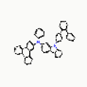 c1ccc(-c2ccccc2-c2ccc(-n3c4ccccc4c4ccc(N(c5ccccc5)c5ccc6c7ccccc7c7ccccc7c6c5)cc43)cc2)cc1